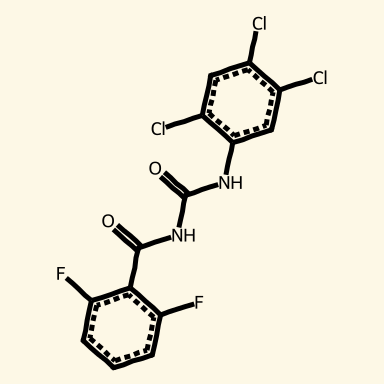 O=C(NC(=O)c1c(F)cccc1F)Nc1cc(Cl)c(Cl)cc1Cl